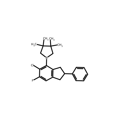 CC1(C)CB(c2c(Cl)c(F)cc3c2CC(c2ccccc2)C3)CC1(C)C